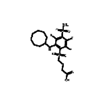 NS(=O)(=O)c1c(F)c(F)c(S(=O)(=O)CCCC(=O)O)c(NC2CCCCCCC2)c1F